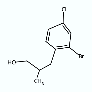 CC(CO)Cc1ccc(Cl)cc1Br